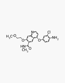 CNC(=O)c1cc2c(Oc3ccc(N)c(Cl)c3)ccnc2cc1OCCOC